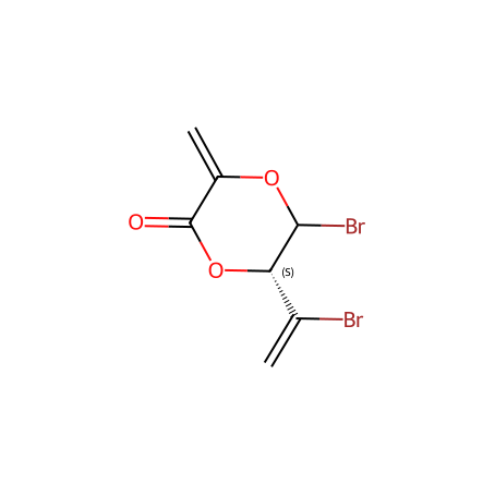 C=C1OC(Br)[C@H](C(=C)Br)OC1=O